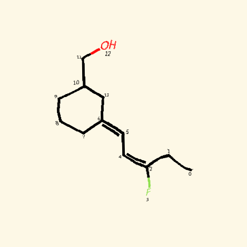 CC/C(F)=C\C=C1/CCCC(CO)C1